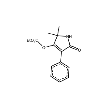 CCOC(=O)OC1=C(c2ccccc2)C(=O)NC1(C)C